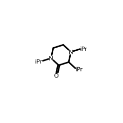 CC(C)C1C(=O)N(C(C)C)CCN1C(C)C